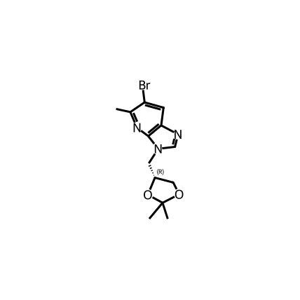 Cc1nc2c(cc1Br)ncn2C[C@@H]1COC(C)(C)O1